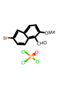 COc1ccc2cc(Br)ccc2c1C=O.O=P(Cl)(Cl)Cl